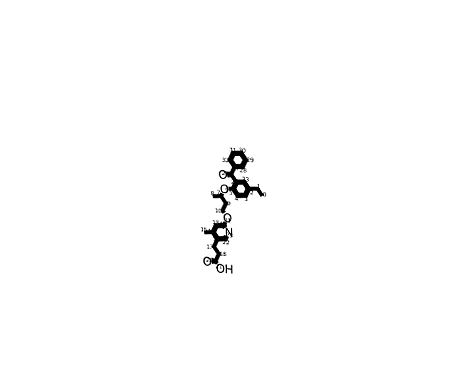 CCc1ccc(OC(C)CCOc2cc(C)c(CCC(=O)O)cn2)c(C(=O)c2ccccc2)c1